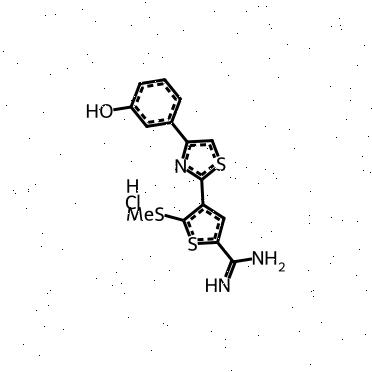 CSc1sc(C(=N)N)cc1-c1nc(-c2cccc(O)c2)cs1.Cl